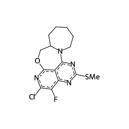 CSc1nc2c3c(nc(Cl)c(F)c3n1)OCC1CCCCCN21